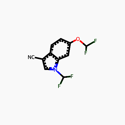 N#Cc1cn(C(F)F)c2cc(OC(F)F)ccc12